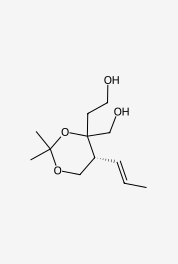 C/C=C/[C@@H]1COC(C)(C)OC1(CO)CCO